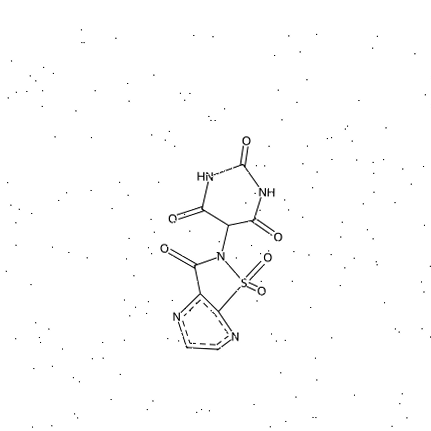 O=C1NC(=O)C(N2C(=O)c3nccnc3S2(=O)=O)C(=O)N1